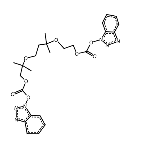 CC(C)(CCOC(C)(C)COC(=O)On1nnc2ccccc21)OCCOC(=O)On1nnc2ccccc21